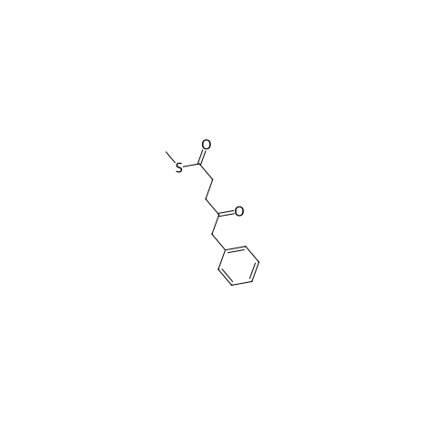 CSC(=O)CCC(=O)Cc1ccccc1